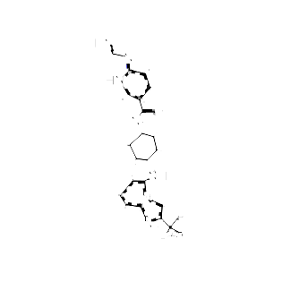 N=C/N=c1/ccc(C(=O)N[C@H]2CC[C@@H](Nc3cccc4nc(C(F)(F)F)cn34)CC2)c[nH]1